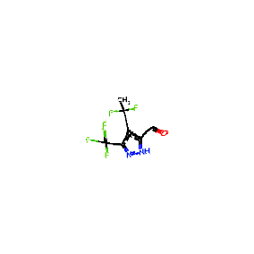 CC(F)(F)c1c(C(F)(F)F)n[nH]c1C=O